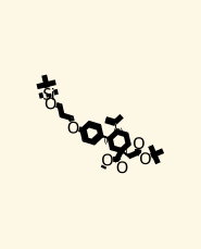 C=C(C)[C@@H]1CC[C@](CC(=O)OC(C)(C)C)(C(=O)OC)C[C@H]1c1ccc(OCCCO[Si](C)(C)C(C)(C)C)cc1